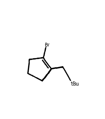 CC(C)(C)CC1=C(Br)CCC1